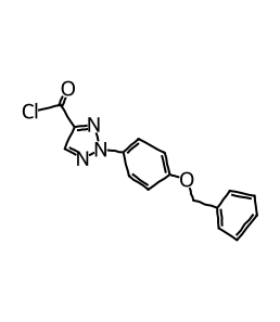 O=C(Cl)c1cnn(-c2ccc(OCc3ccccc3)cc2)n1